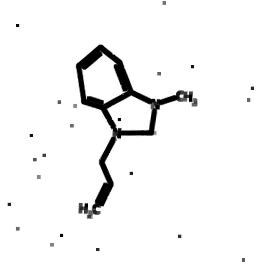 C=CCN1[CH]N(C)c2ccccc21